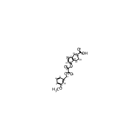 COc1cccc(COC(=O)C(=O)On2cnc3c2CCN(C(=O)O)C3)c1